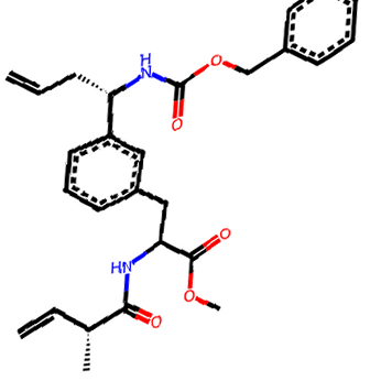 C=CC[C@H](NC(=O)OCc1ccccc1)c1cccc(CC(NC(=O)[C@H](C)C=C)C(=O)OC)c1